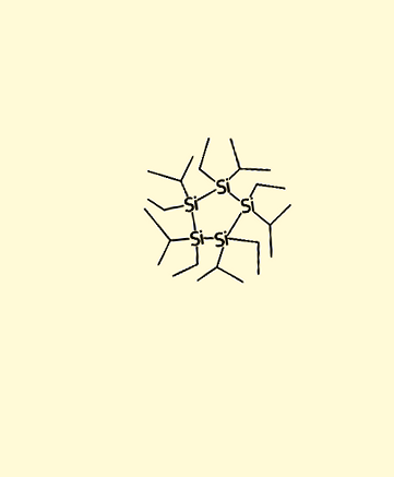 CC[Si]1(C(C)C)[Si](CC)(C(C)C)[Si](CC)(C(C)C)[Si](CC)(C(C)C)[Si]1(CC)C(C)C